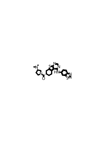 CN(C)[C@H]1CCN(C(=O)[C@H]2CCc3c(sc4ncnc(Nc5ccc6nnsc6c5)c34)C2)C1